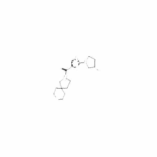 O=C(c1cnc(N2CC[C@@H](F)C2)s1)N1CCC2(CCOCC2)C1